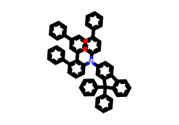 c1ccc(-c2ccc(N(c3ccc4c(c3)C(c3ccccc3)(c3ccccc3)c3ccccc3-4)c3cccc(-c4ccccc4)c3-c3cccc(-c4ccccc4)c3)cc2)cc1